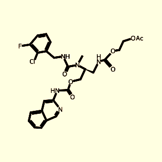 CC(=O)OCCOC(=O)NC[C@@H](COC(=O)Nc1cc2ccccc2cn1)N(C)C(=O)NCc1cccc(F)c1Cl